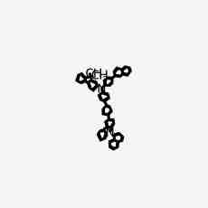 CC1(C)c2ccccc2-c2ccc(N(c3ccc(-c4ccc(-c5ccc6c(c5)c5ccccc5n6-c5cccc6ccccc56)cc4)cc3)c3ccc(-c4ccc5ccccc5c4)cc3)cc21